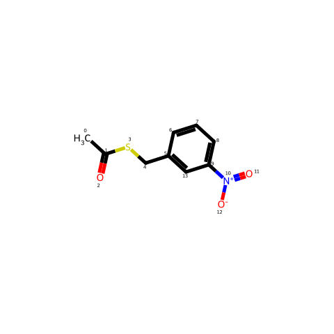 CC(=O)SCc1cccc([N+](=O)[O-])c1